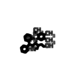 COc1cc(C)c(C)cc1N(C)C1C(CCO)CNC1C(c1ccccc1)c1ccccc1